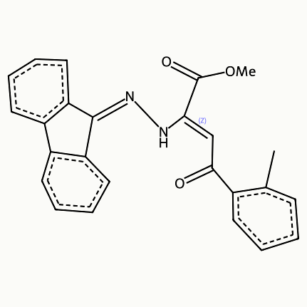 COC(=O)/C(=C/C(=O)c1ccccc1C)NN=C1c2ccccc2-c2ccccc21